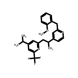 COc1ccccc1Cc1cc(C(C)Cc2cc(C(C)C)cc(C(F)(F)F)n2)ccn1